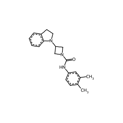 Cc1ccc(NC(=O)N2CC(N3CCc4ccccc43)C2)cc1C